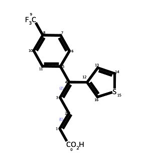 O=C(O)/C=C/C=C(/c1ccc(C(F)(F)F)cc1)c1ccsc1